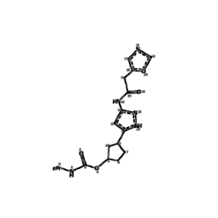 CCCNC(=O)OC1CCC(c2cc(NC(=O)Cc3cnco3)n[nH]2)C1